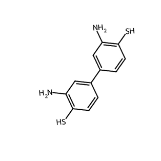 Nc1cc(-c2ccc(S)c(N)c2)ccc1S